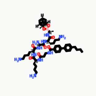 CCCCc1ccc(-c2ccc(C(=O)NCCC(=O)N[C@@H](CCCCN)C(=O)N[C@@H](CCCCN)C(=O)N[C@@H](N)C(=O)N[C@@H](CCCCN)C(=O)N[C@@H](C)B3O[C@@H]4C[C@@H]5C[C@@H](C5(C)C)[C@]4(C)O3)cc2)cc1